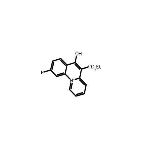 CCOC(=O)c1c(O)c2ccc(F)cc2[n+]2ccccc12